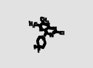 Cc1nc2nc(Cl)nc(N3CCC(F)(F)CC3)c2nc1C